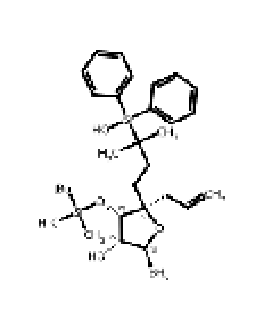 B[C@@H]1O[C@](CC=C)(CCC(C)(C)[Si](O)(c2ccccc2)c2ccccc2)[C@@H](O[Si](C)(C)C(C)(C)C)[C@H]1O